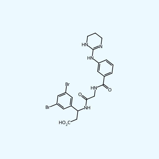 O=C(O)CC(NC(=O)CNC(=O)c1cccc(NC2=NCCCN2)c1)c1cc(Br)cc(Br)c1